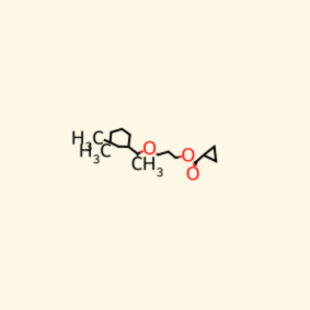 CC(OCCCOC(=O)C1CC1)C1CCCC(C)(C)C1